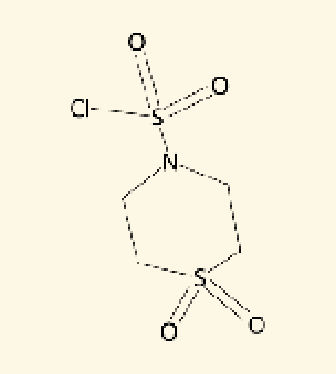 O=S1(=O)CCN(S(=O)(=O)Cl)CC1